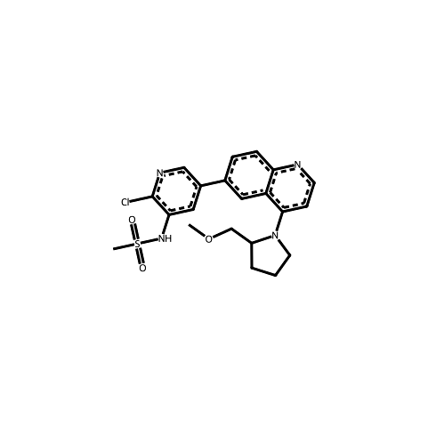 COCC1CCCN1c1ccnc2ccc(-c3cnc(Cl)c(NS(C)(=O)=O)c3)cc12